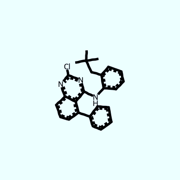 CC(C)(C)Cc1ccccc1Nc1nc(Cl)nc2cccc(-c3ccccc3)c12